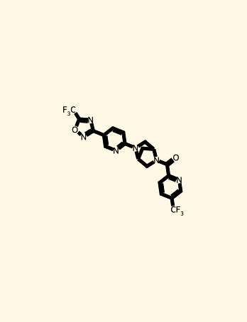 O=C(c1ccc(C(F)(F)F)cn1)N1CC2CC1CN2c1ccc(-c2noc(C(F)(F)F)n2)cn1